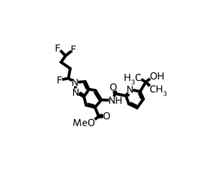 COC(=O)c1cc2nn(C(F)CCC(F)F)cc2cc1NC(=O)c1cccc(C(C)(C)O)n1